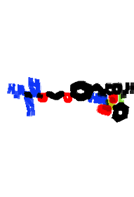 N=C(N)NOCCCOc1ccc(C[C@H](NS(=O)(=O)c2ccccc2F)C(=O)O)cc1